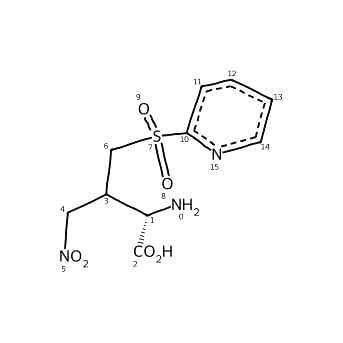 N[C@H](C(=O)O)C(C[N+](=O)[O-])CS(=O)(=O)c1ccccn1